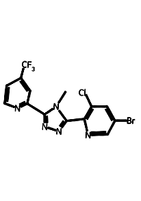 Cn1c(-c2cc(C(F)(F)F)ccn2)nnc1-c1ncc(Br)cc1Cl